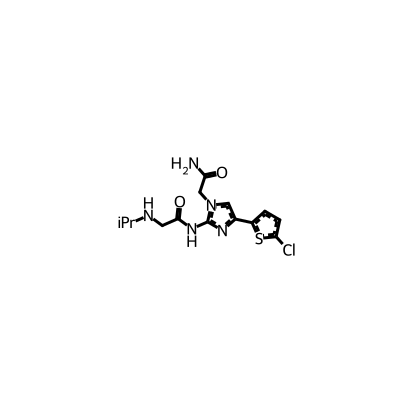 CC(C)NCC(=O)Nc1nc(-c2ccc(Cl)s2)cn1CC(N)=O